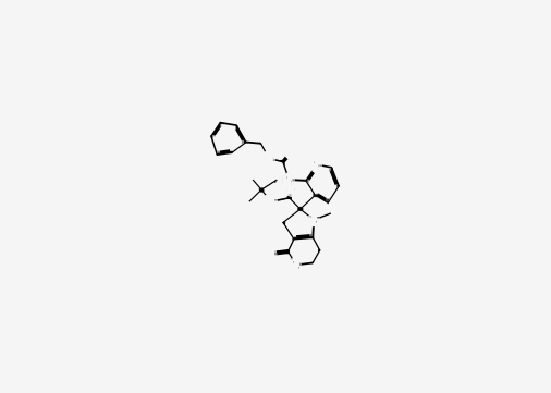 CN1C2=C(CC1(C(=O)OC(C)(C)C)c1cccnc1NC(=O)OCc1ccccc1)C(=O)NCC2